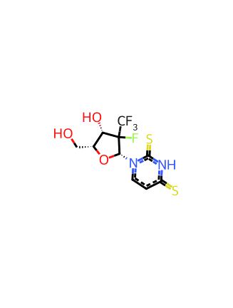 OC[C@H]1O[C@@H](n2ccc(=S)[nH]c2=S)C(F)(C(F)(F)F)[C@H]1O